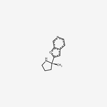 C[C@@]1(c2cc3ccncc3o2)CCCN1